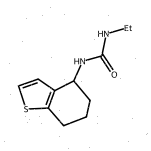 CCNC(=O)NC1CCCc2sccc21